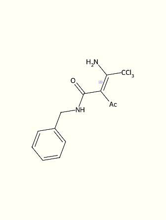 CC(=O)/C(C(=O)NCc1ccccc1)=C(/N)C(Cl)(Cl)Cl